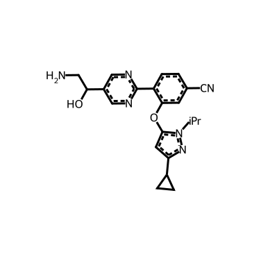 CC(C)n1nc(C2CC2)cc1Oc1cc(C#N)ccc1-c1ncc(C(O)CN)cn1